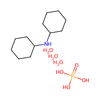 C1CCC(NC2CCCCC2)CC1.O.O.O.O=P(O)(O)O